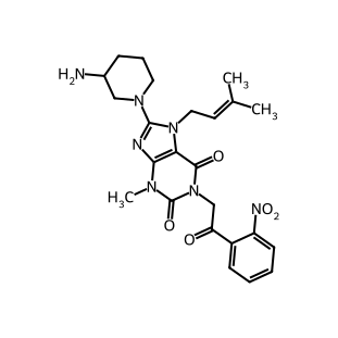 CC(C)=CCn1c(N2CCCC(N)C2)nc2c1c(=O)n(CC(=O)c1ccccc1[N+](=O)[O-])c(=O)n2C